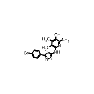 Cc1nc(Nc2nnc(-c3ccc(Br)cc3)s2)c(C)c(C)c1O